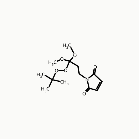 COC(CCN1C(=O)C=CC1=O)(OC)OOC(C)(C)C